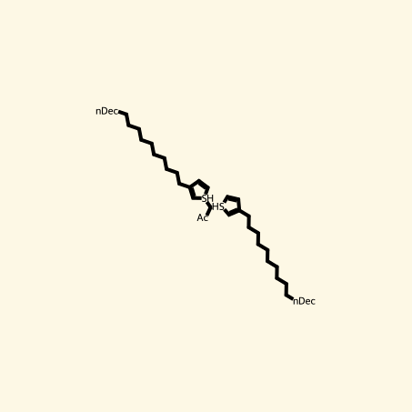 CCCCCCCCCCCCCCCCCCCCC1=C[SH](C(C(C)=O)[SH]2C=CC(CCCCCCCCCCCCCCCCCCCC)=C2)C=C1